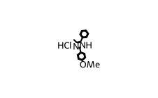 COc1ccc(-c2nc(C)c(-c3ccccc3)[nH]2)cc1.Cl